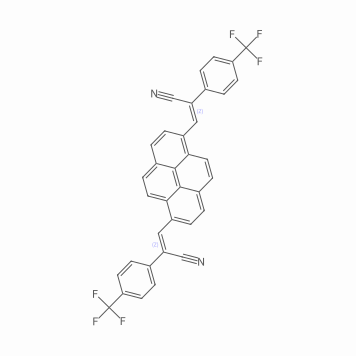 N#C/C(=C\c1ccc2ccc3c(/C=C(\C#N)c4ccc(C(F)(F)F)cc4)ccc4ccc1c2c43)c1ccc(C(F)(F)F)cc1